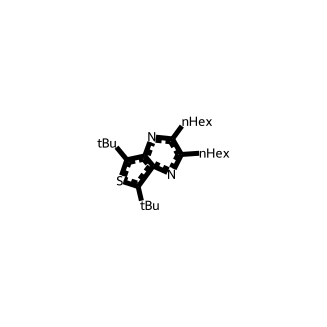 CCCCCCc1nc2c(C(C)(C)C)sc(C(C)(C)C)c2nc1CCCCCC